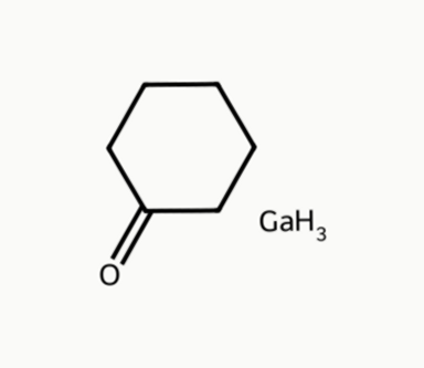 O=C1CCCCC1.[GaH3]